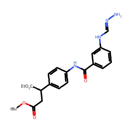 CCOC(=O)C(CC(=O)OC(C)(C)C)c1ccc(NC(=O)c2cccc(NC=NN)c2)cc1